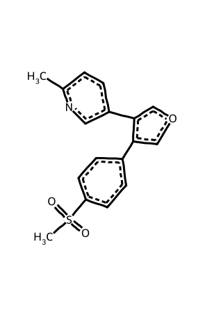 Cc1ccc(-c2cocc2-c2ccc(S(C)(=O)=O)cc2)cn1